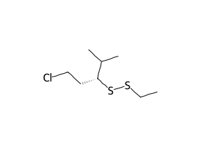 CCSS[C@H](CCCl)C(C)C